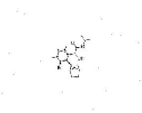 Cc1nc(C)c(C(O)C(=O)OC(C)C)c(N2CC3CCC2C3)c1Br